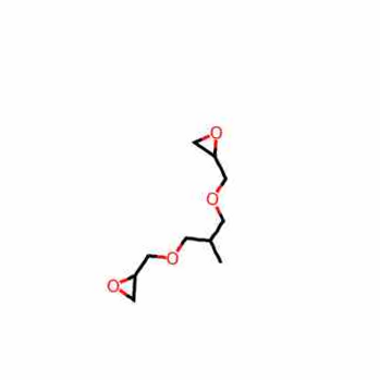 CC(COCC1CO1)COCC1CO1